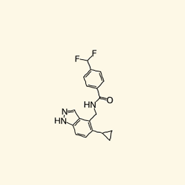 O=C(NCc1c(C2CC2)ccc2[nH]ncc12)c1ccc(C(F)F)cc1